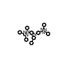 c1ccc(-c2ccc3c(c2)c2cc(N(c4ccccc4)c4nc(-c5ccccc5)cc(-c5ccccc5)n4)ccc2n3-c2ccc(-c3nc(-c4ccccc4)nc(-c4ccccc4)n3)cc2)cc1